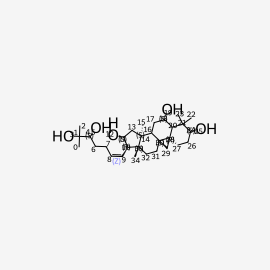 CC(C)(O)[C@@H](O)CC/C=C\[C@H]1[C@@H](O)C[C@@]2(C)C3C[C@H](O)C4C(C)(C)[C@@H](O)CC[C@@]45C[C@@]35CC[C@]12C